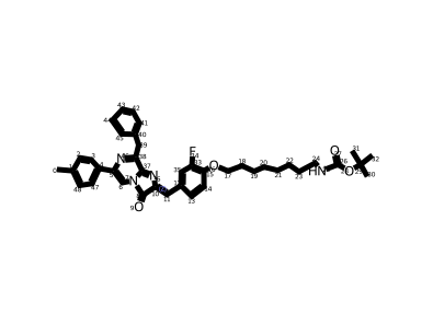 Cc1ccc(C2=CN3C(=O)/C(=C/c4ccc(OCCCCCCCCNC(=O)OC(C)(C)C)c(F)c4)N=C3C(Cc3ccccc3)=N2)cc1